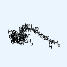 CNCCSSCOCCCCC(=O)NCC#Cc1cn([C@H]2CC(OC(=O)c3ccccc3C(C)N=[N+]=[N-])[C@@H](COP(=O)(O)OP(=O)(O)OP(=O)(O)O)O2)c(=O)nc1N